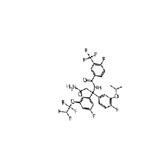 CC(C)Oc1cc(C(CC(N)=O)(NC(=O)c2ccc(F)c(C(F)(F)F)c2)c2cc(F)cc(OC(F)(F)C(F)F)c2)ccc1F